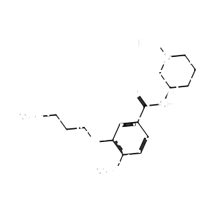 COCCCOc1cc(C(=O)N[C@@H]2CCCN(C(=O)O)C2)ccc1OC